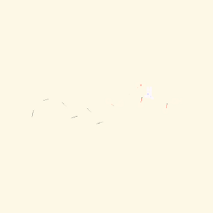 CC/C=C\C/C=C\C/C=C\C/C=C\C/C=C\C/C=C\CCC(=O)OCC(C)(C)[C@@H](O)C(=O)NCCC(=O)O